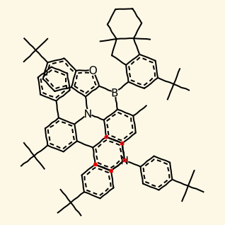 Cc1cc(N(c2ccc(C(C)(C)C)cc2)c2ccc(C(C)(C)C)cc2)cc2c1B(c1cc(C(C)(C)C)cc3c1CC1(C)CCCCC31C)c1oc3cc(C(C)(C)C)ccc3c1N2c1c(-c2ccccc2)cc(C(C)(C)C)cc1-c1ccccc1